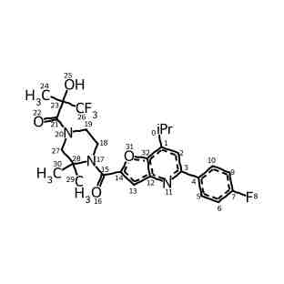 CC(C)c1cc(-c2ccc(F)cc2)nc2cc(C(=O)N3CCN(C(=O)C(C)(O)C(F)(F)F)CC3(C)C)oc12